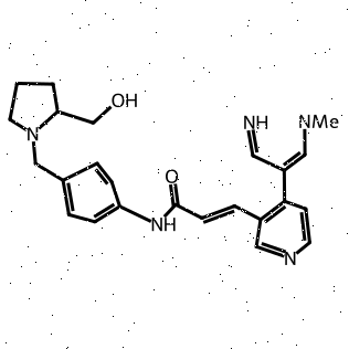 CN/C=C(\C=N)c1ccncc1/C=C/C(=O)Nc1ccc(CN2CCCC2CO)cc1